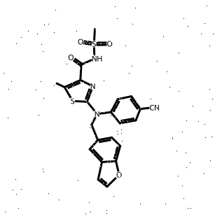 Cc1sc(N(Cc2ccc3occc3c2)c2ccc(C#N)cc2)nc1C(=O)NS(C)(=O)=O